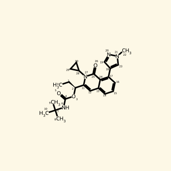 CC[C@H](OC(=O)NC(C)(C)C)c1cc2cccc(-c3cnn(C)c3)c2c(=O)n1C1CC1